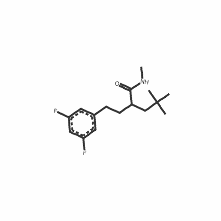 CNC(=O)C(CCc1cc(F)cc(F)c1)CC(C)(C)C